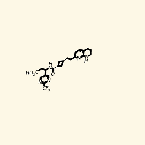 O=C(O)CC(NC(=O)[C@H]1C[C@H](CCc2ccc3c(n2)NCCC3)C1)c1cnc(C(F)(F)F)nc1